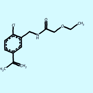 C=C(C)c1ccc(Cl)c(CNC(=O)COCC)c1